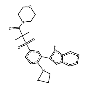 CC(C)(C(=O)N1CCOCC1)S(=O)(=O)c1ccc(N2CCC2)c(-c2cc3ccccc3[nH]2)c1